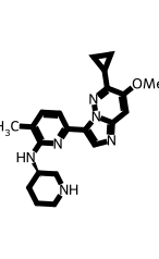 COc1cc2ncc(-c3ccc(C)c(N[C@@H]4CCCNC4)n3)n2nc1C1CC1